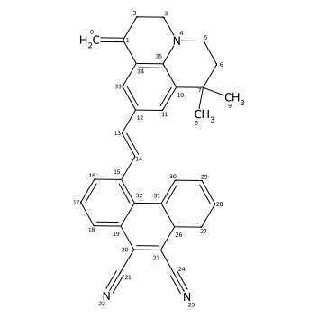 C=C1CCN2CCC(C)(C)c3cc(C=Cc4cccc5c(C#N)c(C#N)c6ccccc6c45)cc1c32